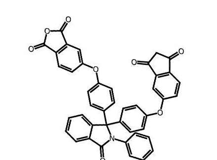 O=C1CC(=O)c2cc(Oc3ccc(C4(c5ccc(Oc6ccc7c(c6)C(=O)OC7=O)cc5)c5ccccc5C(=O)N4c4ccccc4)cc3)ccc21